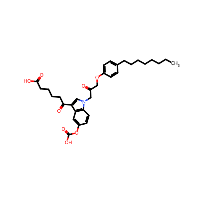 CCCCCCCCc1ccc(OCC(=O)Cn2cc(C(=O)CCCCC(=O)O)c3cc(OC(=O)O)ccc32)cc1